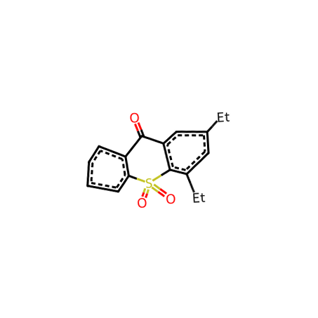 CCc1cc(CC)c2c(c1)C(=O)c1ccccc1S2(=O)=O